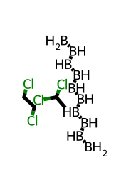 BBBBBBBBBB.CC(Cl)Cl.ClCCCl